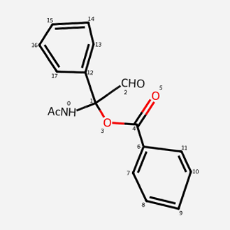 CC(=O)NC(C=O)(OC(=O)c1ccccc1)c1ccccc1